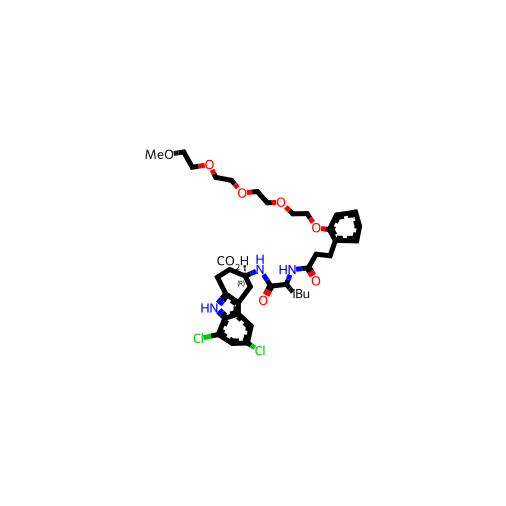 CCC(C)C(NC(=O)CCc1ccccc1OCCOCCOCCOCCOC)C(=O)N[C@]1(C(=O)O)CCc2[nH]c3c(Cl)cc(Cl)cc3c2C1